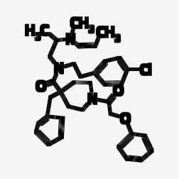 C/C=C\N(C)C(C)CN(CCc1ccc(Cl)cc1)C(=O)C1(Cc2ccccc2)CCN(C(=O)COc2ccccc2)CC1